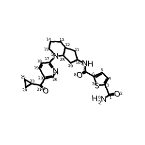 NC(=O)c1ccc(C(=O)NC2CC3CCCN(c4ccc(C(=O)C5CC5)cn4)C3C2)s1